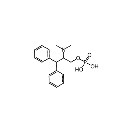 CN(C)C(COP(=O)(O)O)C(c1ccccc1)c1ccccc1